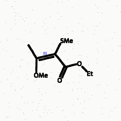 CCOC(=O)/C(SC)=C(/C)OC